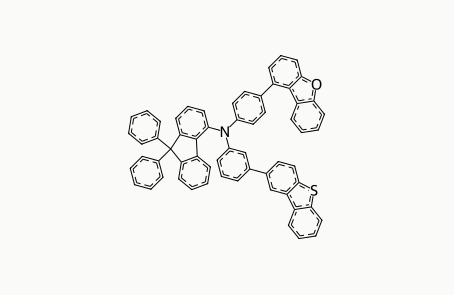 c1ccc(C2(c3ccccc3)c3ccccc3-c3c(N(c4ccc(-c5cccc6oc7ccccc7c56)cc4)c4cccc(-c5ccc6sc7ccccc7c6c5)c4)cccc32)cc1